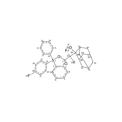 O=C(OS(c1ccccc1)(c1ccccc1)c1ccc(F)cc1)C(F)(F)C1(O)C2CC3CC(C2)CC1C3